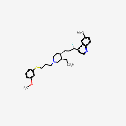 COc1ccc2nccc([C@@H](F)CC[C@@H]3CCN(CCCSc4cccc(OC(F)(F)F)c4)C[C@@H]3CC(=O)O)c2c1